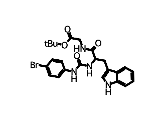 CC(C)(C)OC(=O)CNC(=O)C(Cc1c[nH]c2ccccc12)NC(=O)Nc1ccc(Br)cc1